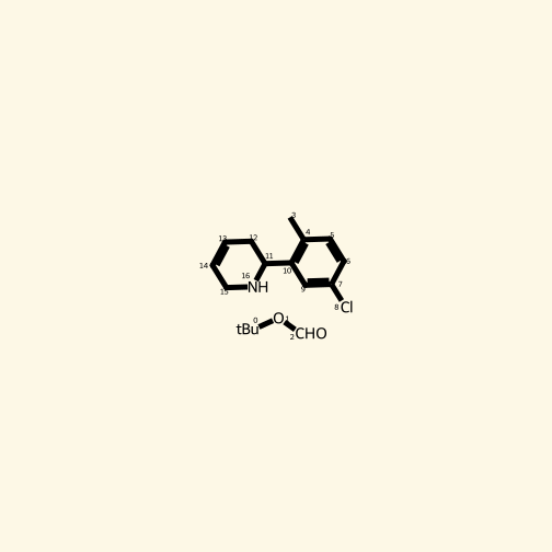 CC(C)(C)OC=O.Cc1ccc(Cl)cc1C1CC=CCN1